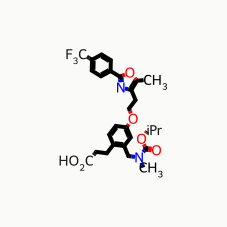 Cc1oc(-c2ccc(C(F)(F)F)cc2)nc1CCOc1ccc(CCC(=O)O)c(CN(C)C(=O)OC(C)C)c1